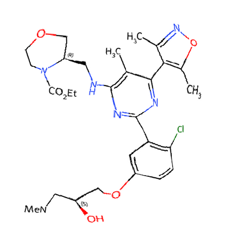 CCOC(=O)N1CCOC[C@H]1CNc1nc(-c2cc(OC[C@@H](O)CNC)ccc2Cl)nc(-c2c(C)noc2C)c1C